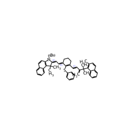 C=C(/C=C/C1=C(Sc2ccccc2)C(=C/C=C2/N(CCCC)c3ccc4ccccc4c3C2(C)C)/CCC1)C(C)(C)c1c(C)ccc2ccccc12